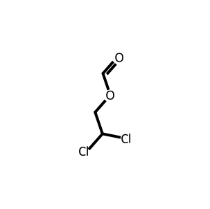 O=COCC(Cl)Cl